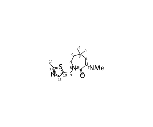 CNC1CC(C)(C)CCN(Cc2cnc(C)s2)C1=O